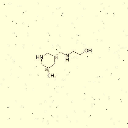 C[C@@H]1CNC[C@H](CNCCO)C1